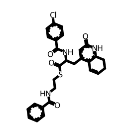 O=C(NCCSC(=O)C(Cc1cc(=O)[nH]c2c1C=CCC2)NC(=O)c1ccc(Cl)cc1)c1ccccc1